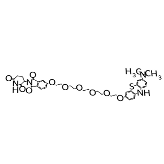 CN(C)c1ccc2c(c1)Sc1cc(OCCOCCOCCOCCOCCOc3ccc4c(c3)C(=O)N(C3CCC(=O)NC3=O)C4=O)ccc1N2